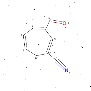 N#CC1=CC(C=O)=CC=CC1